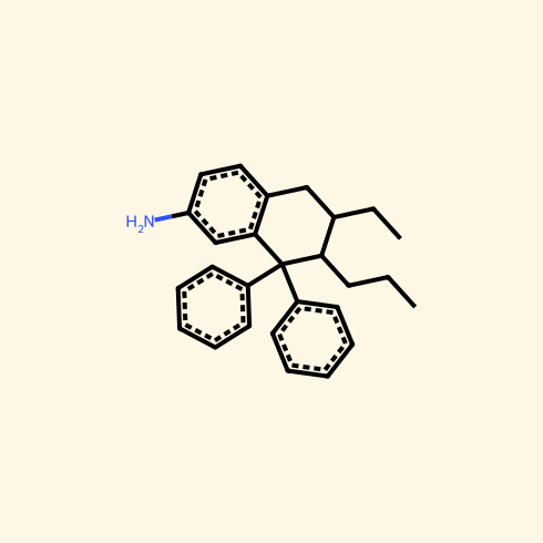 CCCC1C(CC)Cc2ccc(N)cc2C1(c1ccccc1)c1ccccc1